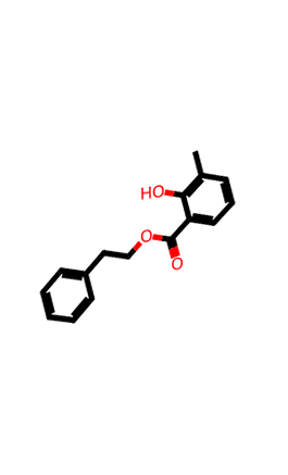 Cc1cccc(C(=O)OCCc2ccccc2)c1O